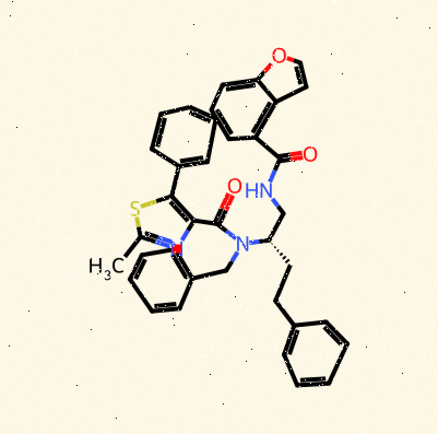 Cc1nc(C(=O)N(Cc2ccccc2)[C@@H](CCc2ccccc2)CNC(=O)c2cccc3occc23)c(-c2ccccc2)s1